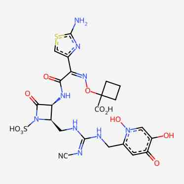 N#CN=C(NCc1cc(=O)c(O)cn1O)NC[C@@H]1[C@H](NC(=O)C(=NOC2(C(=O)O)CCC2)c2csc(N)n2)C(=O)N1S(=O)(=O)O